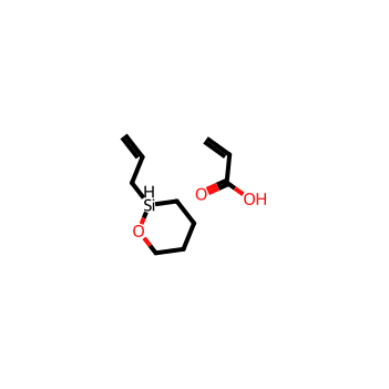 C=CC(=O)O.C=CC[SiH]1CCCCO1